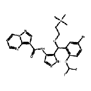 C[Si](C)(C)CCOC(c1cc(Br)ccc1OC(F)F)c1[nH]ncc1NC(=O)c1cnn2cccnc12